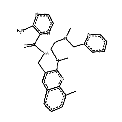 Cc1cccc2cc(CNC(=O)c3nccnc3N)c(N(C)CCN(C)Cc3ccccn3)nc12